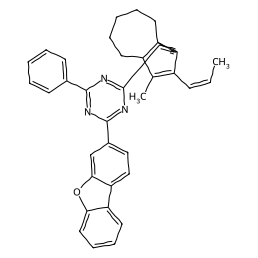 C/C=C\C1=C(C)C2CCCCCC23CC(c2nc(-c4ccccc4)nc(-c4ccc5c(c4)oc4ccccc45)n2)=CC=C13